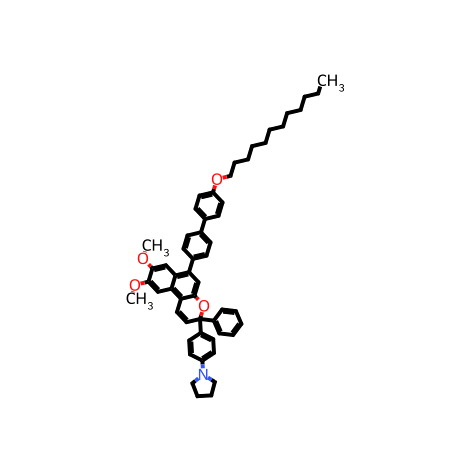 CCCCCCCCCCCCOc1ccc(-c2ccc(-c3cc4c(c5cc(OC)c(OC)cc35)C=CC(c3ccccc3)(c3ccc(N5CCCC5)cc3)O4)cc2)cc1